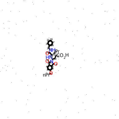 CCCOc1ccc2c(c1)C(=O)N(C(CCC(=O)O)N[C@@H](CC(C)C)C(=O)NCc1ccccc1)C2=O